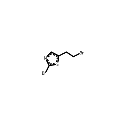 BrCCc1cnc(Br)s1